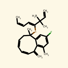 BC(C)(C=C)/C(=C/C=C\C)SC1(C)C/C=C\C=C/C(=C)c2c(C)cc(F)cc21